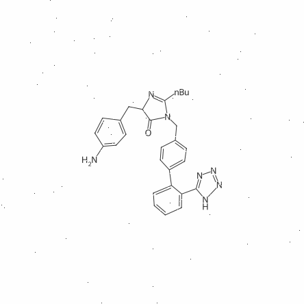 CCCCC1=NC(Cc2ccc(N)cc2)C(=O)N1Cc1ccc(-c2ccccc2-c2nnn[nH]2)cc1